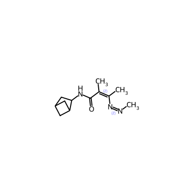 C/N=N\C(C)=C(\C)C(=O)NC1CC2CC1C2